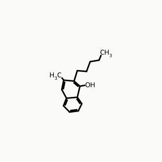 CCCCCc1c(C)cc2ccccc2c1O